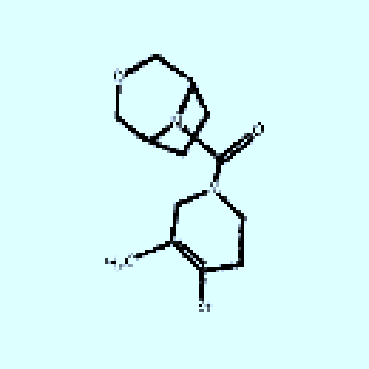 CCC1=C(C)CN(C(=O)N2C3CCC2COC3)CC1